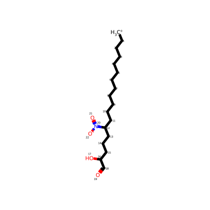 CCCCCCCCCCCCC(CCCC(O)[C]=O)[N+](=O)[O-]